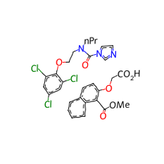 CCCN(CCOc1c(Cl)cc(Cl)cc1Cl)C(=O)n1ccnc1.COC(=O)c1c(OCC(=O)O)ccc2ccccc12